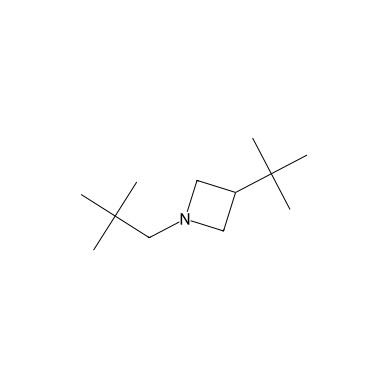 CC(C)(C)CN1CC(C(C)(C)C)C1